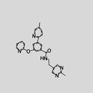 Cc1ccc(-c2cc(Oc3ccccn3)cc(C(=O)NCCc3cnc(C)nc3)c2)nc1